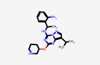 CC(C)c1cnn2c(NC(C)c3ccccc3N)nc(O[C@@H]3CCCNC3)nc12